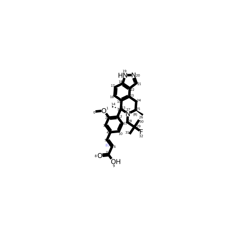 COc1cc(/C=C/C(=O)O)ccc1[C@@]1(C)c2ccc3[nH]ncc3c2C[C@@H](C)N1CC(C)(C)F